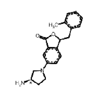 Cc1ccccc1CC1OC(=O)c2cc(N3CC[C@@H](N)C3)ccc21